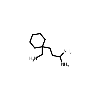 NCC1(CCC(N)N)CCCCC1